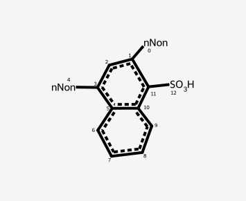 CCCCCCCCCc1cc(CCCCCCCCC)c2ccccc2c1S(=O)(=O)O